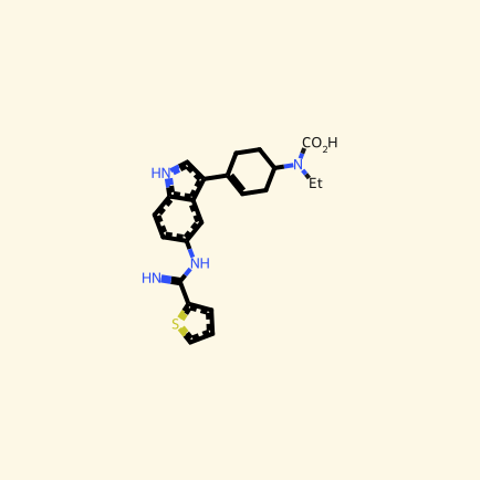 CCN(C(=O)O)C1CC=C(c2c[nH]c3ccc(NC(=N)c4cccs4)cc23)CC1